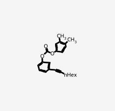 CCCCCCC#Cc1cccc(OC(=O)Oc2ccc(C)c(C)c2)c1